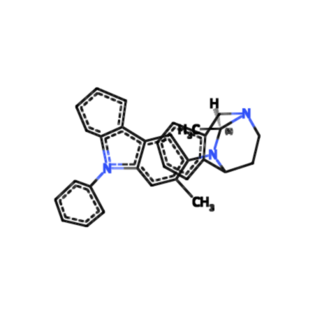 Cc1cc2c(cc1N1C3CCN(Cc4ccccc43)[C@@H]1C)c1ccccc1n2-c1ccccc1